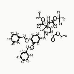 CCOC(=O)[C@H]1C[C@](NC(=O)OC(C)(C)C)(C(=O)OCC)CN1Cc1ccc(OCc2ccccc2)c(OCc2ccccc2)c1